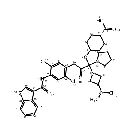 CN(C)C1CN(C(O[C@H]2CC[C@H](C(=O)O)CC2)(C(=O)Cc2cc(Cl)c(NC(=O)c3csc4ccccc34)cc2Cl)N2CCCC2)C1